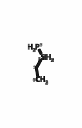 CC[SiH2]P